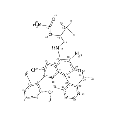 COc1cccc(F)c1-c1nc2c(cc1Cl)c(NCC(OC(N)=O)C(C)(C)C)c(N)c(=O)n2-c1c(C)ccnc1C(C)C